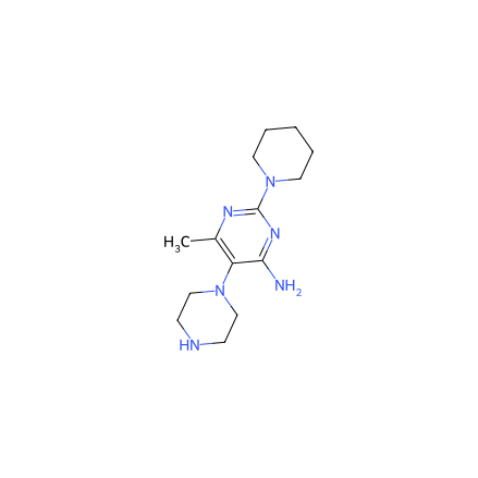 Cc1nc(N2CCCCC2)nc(N)c1N1CCNCC1